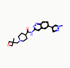 Cn1cc(-c2ccc3nnc(NC(=O)C4CCN(CC5(C)COC5)CC4)cc3c2)cn1